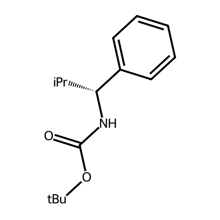 CC(C)[C@@H](NC(=O)OC(C)(C)C)c1ccccc1